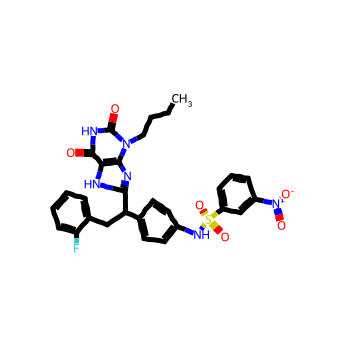 CCCCn1c(=O)[nH]c(=O)c2[nH]c(C(Cc3ccccc3F)c3ccc(NS(=O)(=O)c4cccc([N+](=O)[O-])c4)cc3)nc21